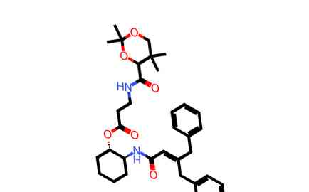 CC1(C)OCC(C)(C)C(C(=O)NCCC(=O)O[C@H]2CCCC[C@@H]2NC(=O)C=C(Cc2ccccc2)Cc2ccccc2)O1